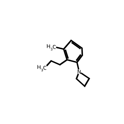 CCCc1c(C)cccc1N1CCC1